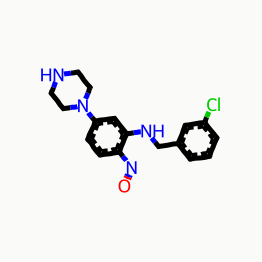 O=Nc1ccc(N2CCNCC2)cc1NCc1cccc(Cl)c1